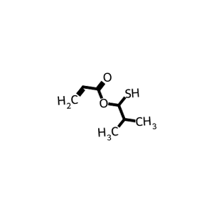 C=CC(=O)OC(S)C(C)C